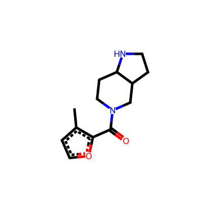 Cc1ccoc1C(=O)N1CCC2NCCC2C1